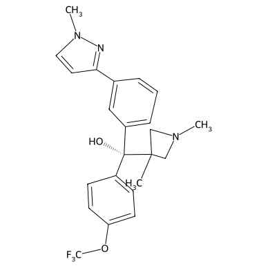 CN1CC(C)([C@@](O)(c2ccc(OC(F)(F)F)cc2)c2cccc(-c3ccn(C)n3)c2)C1